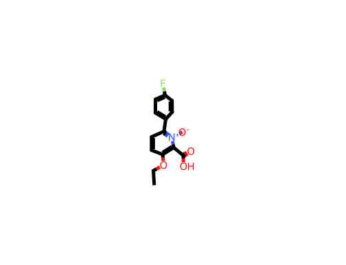 CCOc1ccc(-c2ccc(F)cc2)[n+]([O-])c1C(=O)O